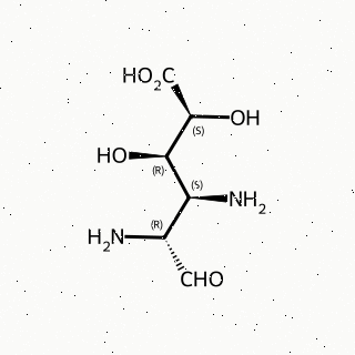 N[C@H]([C@@H](O)[C@H](O)C(=O)O)[C@@H](N)C=O